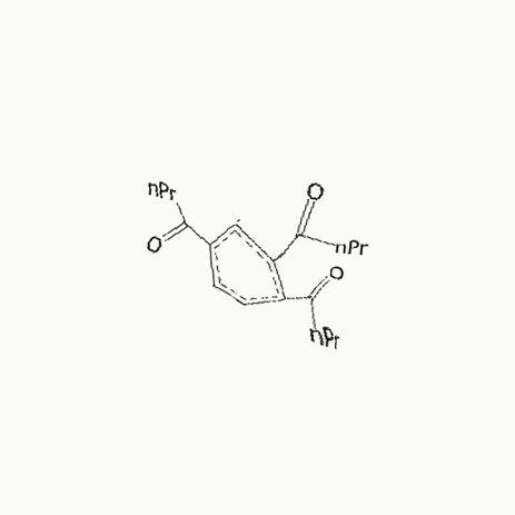 CCCC(=O)c1[c]c(C(=O)CCC)c(C(=O)CCC)cc1